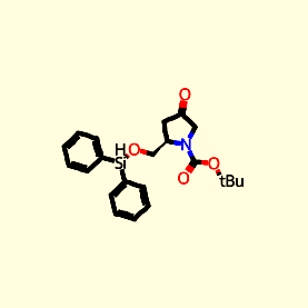 CC(C)(C)OC(=O)N1CC(=O)C[C@@H]1CO[SiH](c1ccccc1)c1ccccc1